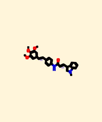 COc1cc(/C=C/c2ccc(NC(=O)/C=C/c3cn(C)c4ccccc34)cc2)cc(OC)c1OC